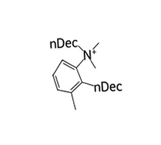 CCCCCCCCCCc1c(C)cccc1[N+](C)(C)CCCCCCCCCC